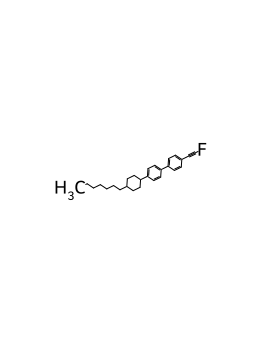 CCCCCCCC1CCC(c2ccc(-c3ccc(C#CF)cc3)cc2)CC1